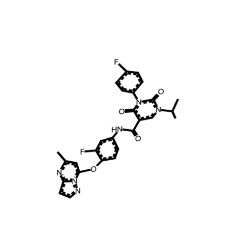 Cc1cc(Oc2ccc(NC(=O)c3cn(C(C)C)c(=O)n(-c4ccc(F)cc4)c3=O)cc2F)n2nccc2n1